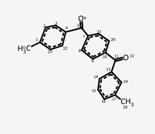 Cc1ccc(C(=O)c2ccc(C(=O)c3cccc(C)c3)cc2)cc1